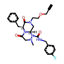 C#CCOCCN1C[C@H]2N(C(=O)CN(C)N2C(=O)NCc2ccc(F)cc2)[C@@H](Cc2ccccc2)C1=O